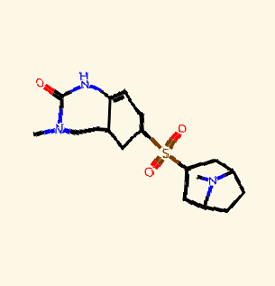 CN1CC2CC(S(=O)(=O)C3CC4CCC(C3)N4C)CC=C2NC1=O